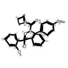 COc1ccc(CN(OC(Cl)(c2ccccc2)c2ccccc2Cl)C(=O)N2CCC2)cc1